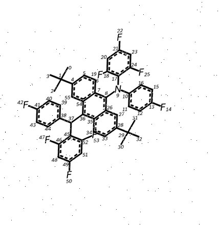 CC(C)(C)c1ccc2c(N(c3ccc(F)cc3)c3c(F)cc(F)cc3F)c3cc(C(C)(C)C)ccc3c(C(c3ccc(F)cc3)c3c(F)cc(F)cc3F)c2c1